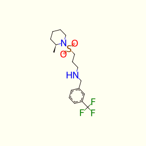 C[C@H]1CCCCN1S(=O)(=O)CCCNCc1cccc(C(F)(F)F)c1